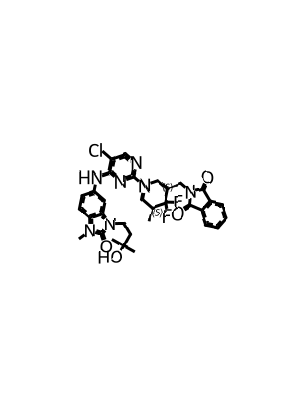 C[C@H]1CN(c2ncc(Cl)c(Nc3ccc4c(c3)n(CCC(C)(C)O)c(=O)n4C)n2)C[C@@H](CN2C(=O)c3ccccc3C2=O)C1(F)F